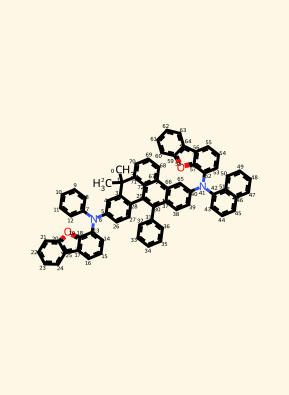 CC1(C)c2cc(N(c3ccccc3)c3cccc4c3oc3ccccc34)ccc2-c2c(-c3ccccc3)c3ccc(N(c4cccc5ccccc45)c4cccc5c4oc4ccccc45)cc3c3cccc1c23